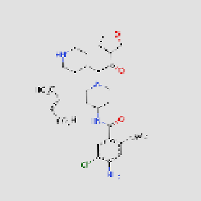 COc1cc(N)c(Cl)cc1C(=O)NC1CCN(C(C(=O)C2CCOC2)C2CCNCC2)CC1.O=C(O)C=CC(=O)O